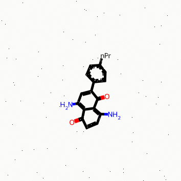 CCCc1ccc(C2=CC(N)=C3C(=O)C=CC(N)=C3C2=O)cc1